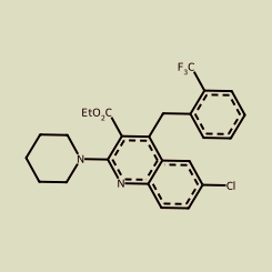 CCOC(=O)c1c(N2CCCCC2)nc2ccc(Cl)cc2c1Cc1ccccc1C(F)(F)F